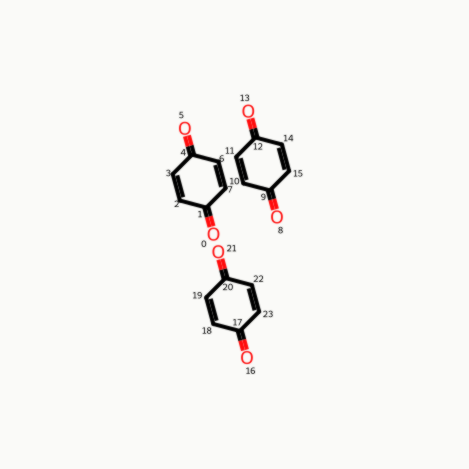 O=C1C=CC(=O)C=C1.O=C1C=CC(=O)C=C1.O=C1C=CC(=O)C=C1